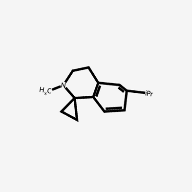 CC(C)c1ccc2c(c1)CCN(C)C21CC1